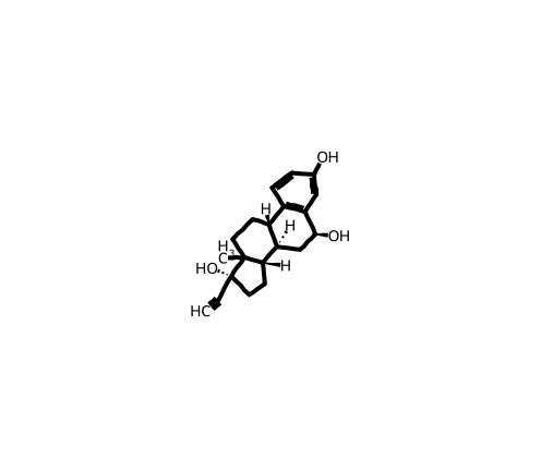 C#C[C@]1(O)CC[C@H]2[C@@H]3C[C@H](O)c4cc(O)ccc4[C@H]3CCC21C